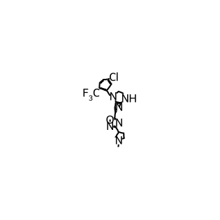 CN1CCC(c2noc(-c3c4c5c(n3-4)NCCN5Cc3cc(Cl)ccc3C(F)(F)F)n2)C1